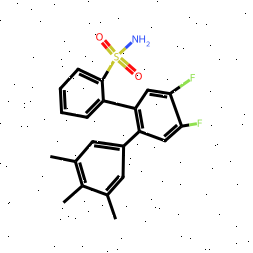 Cc1cc(-c2cc(F)c(F)cc2-c2ccccc2S(N)(=O)=O)cc(C)c1C